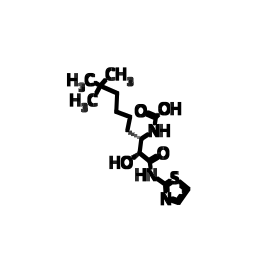 CC(C)(C)CCCC[C@H](NC(=O)O)[C@H](O)C(=O)Nc1nccs1